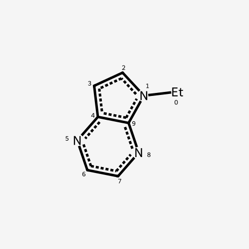 CCn1ccc2nccnc21